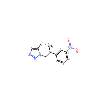 Cc1cnnn1CC(C)c1cccc([N+](=O)[O-])c1